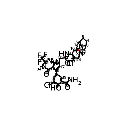 CN1CC2CCC(C1)N2c1cc(NC(=O)Cn2cc(-c3cc(Cl)c(O)c(C(N)=O)c3)c3c(=O)n(C)c(C(F)(F)F)nc32)c(Cl)cn1